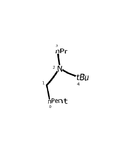 CCCCCCN(CCC)C(C)(C)C